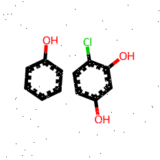 Oc1ccc(Cl)c(O)c1.Oc1ccccc1